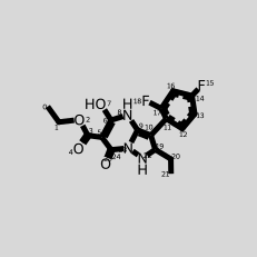 CCOC(=O)C1=C(O)NC2=C(c3ccc(F)cc3F)C(CC)NN2C1=O